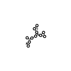 CC1(C)c2ccccc2-c2ccc(N(c3ccccc3)c3ccc(-c4ccc5c(c4)c4cc(-c6cccc7c6sc6ccccc67)ccc4n5-c4ccc5c6ccccc6c6ccccc6c5c4)cc3)cc21